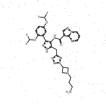 NCCCN1CC(n2nnc(Cc3[nH]nc(-c4cc(OC(F)F)ccc4OC(F)F)c3NC(=O)c3cnn4cccnc34)n2)C1